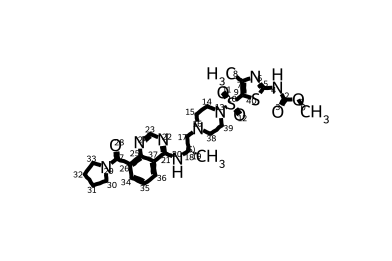 COC(=O)Nc1nc(C)c(S(=O)(=O)N2CCN(C[C@H](C)Nc3ncnc4c(C(=O)N5CCCC5)cccc34)CC2)s1